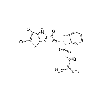 CN(C)C(=O)CS(=O)(=O)[C@@H]1c2ccccc2C[C@H]1NC(=O)c1cc2sc(Cl)c(Cl)c2[nH]1